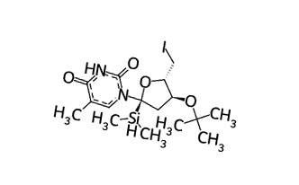 Cc1cn([C@@]2([SiH](C)C)C[C@H](OC(C)(C)C)[C@@H](CI)O2)c(=O)[nH]c1=O